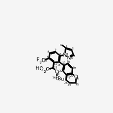 Cc1ccnn1-c1ccc(C(F)(F)F)c(C(OC(C)(C)C)C(=O)O)c1-c1ccc2c(c1)CCCO2